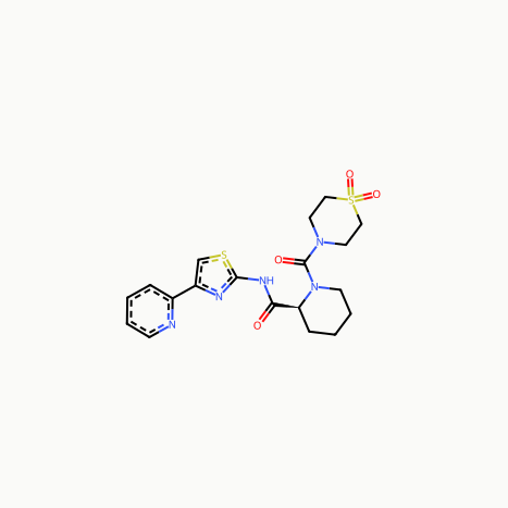 O=C(Nc1nc(-c2ccccn2)cs1)[C@@H]1CCCCN1C(=O)N1CCS(=O)(=O)CC1